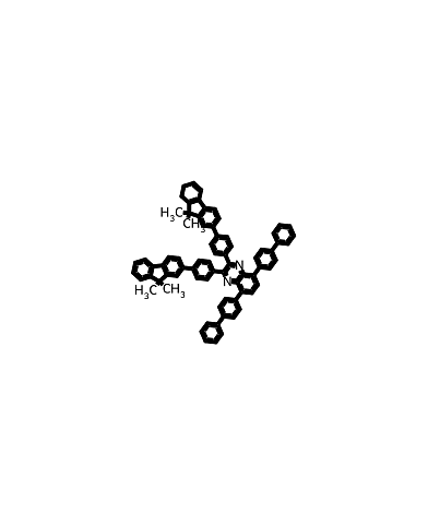 CC1(C)C2=C(C=CCC2)c2ccc(-c3ccc(-c4nc5c(-c6ccc(-c7ccccc7)cc6)ccc(-c6ccc(-c7ccccc7)cc6)c5nc4-c4ccc(-c5ccc6c(c5)C(C)(C)c5ccccc5-6)cc4)cc3)cc21